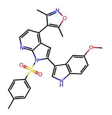 COc1ccc2[nH]cc(-c3cc4c(-c5c(C)noc5C)ccnc4n3S(=O)(=O)c3ccc(C)cc3)c2c1